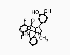 CN1CC(c2ccc(O)c(O)c2)C(C(=O)c2cc(F)ccc2F)C12C(=O)Nc1ccccc12